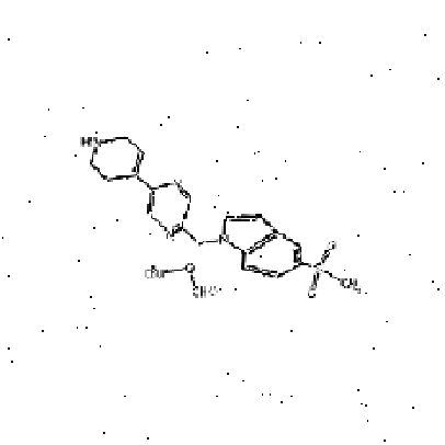 CC(C)(C)OC=O.CS(=O)(=O)c1ccc2c(ccn2Cc2cnc(C3=CCNCC3)cn2)c1